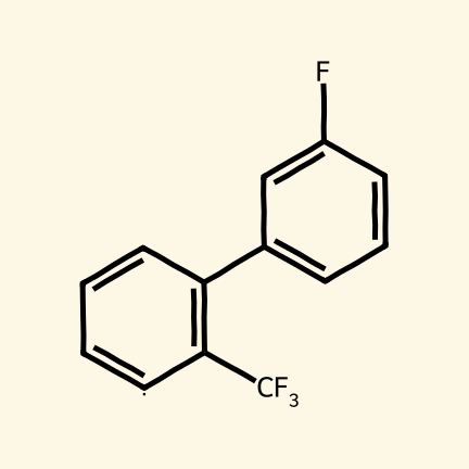 Fc1cccc(-c2ccc[c]c2C(F)(F)F)c1